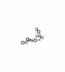 COc1ccc(CNC(=O)C2CC2c2ccc(NCc3cccc(Oc4ccccc4)c3)cc2)cc1